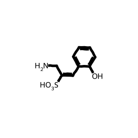 NCC(=Cc1ccccc1O)S(=O)(=O)O